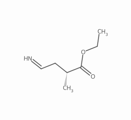 CCOC(=O)[C@H](C)CC=N